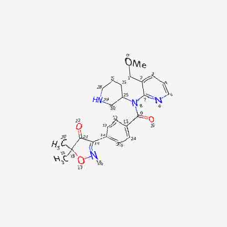 COCc1cccnc1N(C(=O)c1ccc(C2=NOC(C)(C)C2=O)cc1)C1CCCNC1